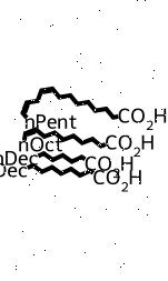 CCCCC/C=C\C/C=C\CCCCCCCC(=O)O.CCCCCCCC/C=C\CCCCCCCC(=O)O.CCCCCCCCCCCCCCCC(=O)O.CCCCCCCCCCCCCCCCCC(=O)O